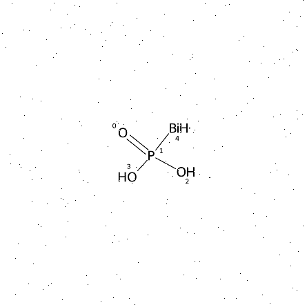 O=[P](O)(O)[BiH]